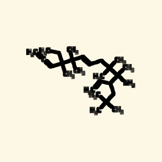 C=C=CC(C)(CC)C(C)(C)/C=C/CC(C)(C)C(C)(N)C(C=C)CC(C)(C)C